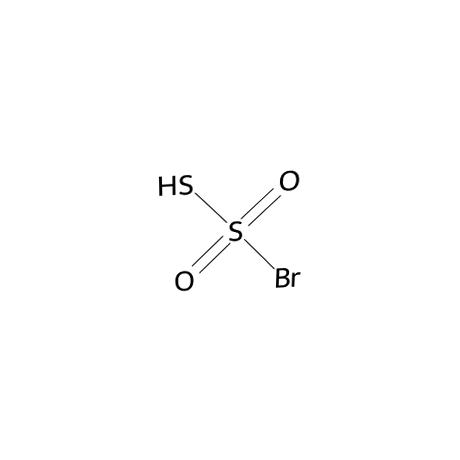 O=S(=O)(S)Br